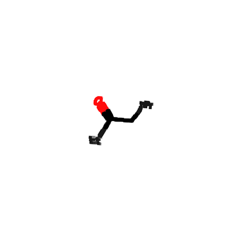 [CH2]CCCC(=O)CC